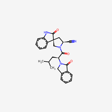 CC(C)C[C@@H](C(=O)N1C[C@]2(C[C@H]1C#N)C(=O)Nc1ccccc12)N1Cc2ccccc2C1=O